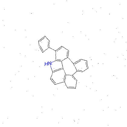 c1ccc(-c2ccc3c4c2[nH]c2ccc5cccc(c5c24)-c2ccccc2-3)cc1